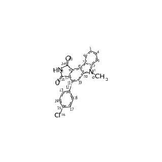 Cn1c2ccccc2c2c3c(c(-c4ccc(Cl)cc4)cc21)C(=O)NC3=O